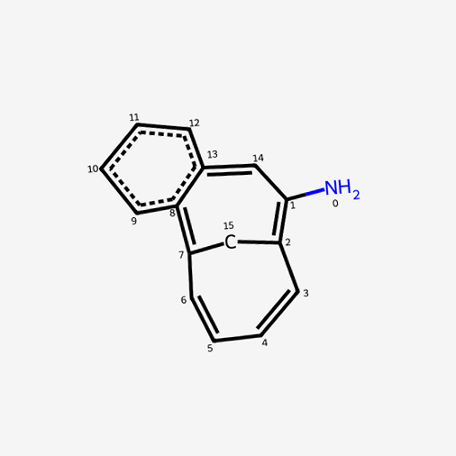 NC1=C2C=CC=CC(=c3ccccc3=C1)C2